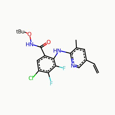 C=Cc1cnc(Nc2c(C(=O)NOC(C)(C)C)cc(Cl)c(F)c2F)c(C)c1